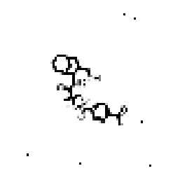 CC(=O)c1ccc(S(=O)(=O)NC(C)(C)C(=O)NC2C(CO)CC3CCCC2C3)cc1